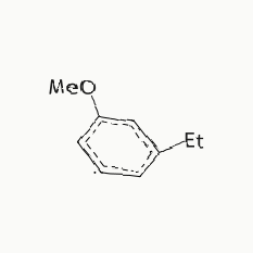 CCc1c[c]cc(OC)c1